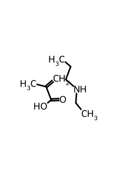 C=C(C)C(=O)O.CCCNCC